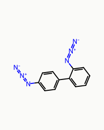 [N-]=[N+]=Nc1ccc(-c2ccccc2N=[N+]=[N-])cc1